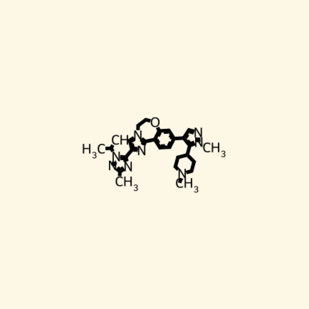 Cc1nc(-c2cn3c(n2)-c2ccc(-c4cnn(C)c4C4CCN(C)CC4)cc2OCC3)n(C(C)C)n1